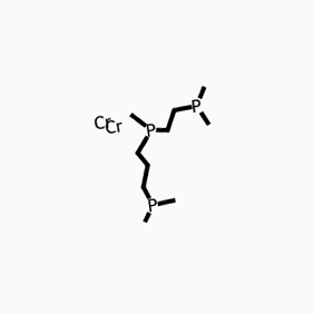 CP(C)CCCP(C)CCP(C)C.[Cr].[Cr]